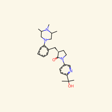 CC1CN(c2ccccc2C[C@H]2CCN(c3ccc(C(C)(C)O)nc3)C2=O)CC(C)N1C